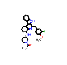 COc1ccc(Cc2nc3c(c4c2[nH]c2ccccc24)CCCC3N[C@H]2CCCN(C(C)=O)C2)cc1F